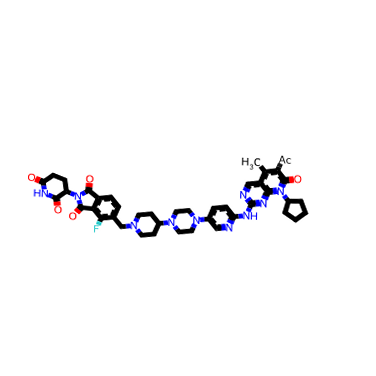 CC(=O)c1c(C)c2cnc(Nc3ccc(N4CCN(C5CCN(Cc6ccc7c(c6F)C(=O)N(C6CCC(=O)NC6=O)C7=O)CC5)CC4)cn3)nc2n(C2CCCC2)c1=O